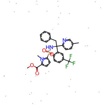 COC(=O)c1ccc(S(=O)(=O)NC(Cc2ccccc2)(c2cccc(C(F)(F)F)c2)c2ccc(C)cn2)n1C